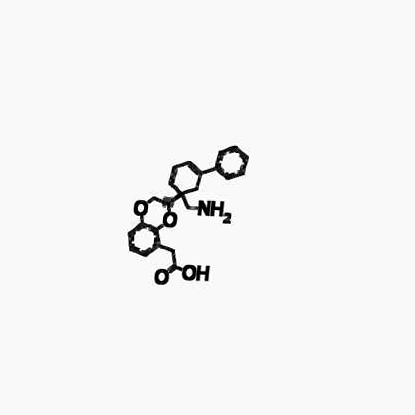 NCC1([C@@H]2COc3cccc(CC(=O)O)c3O2)C=CC=C(c2ccccc2)C1